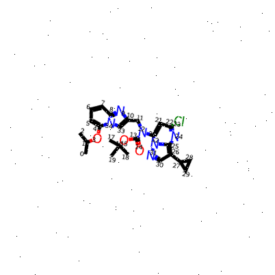 CC(C)Oc1cccc2nc(CN(C(=O)OC(C)(C)C)c3cc(Cl)nc4c(C5CC5)cnn34)cn12